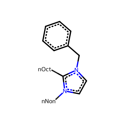 CCCCCCCCC[n+]1ccn(Cc2ccccc2)c1CCCCCCCC